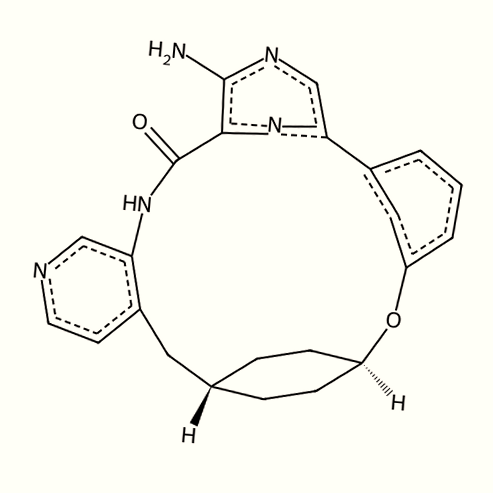 Nc1ncc2nc1C(=O)Nc1cnccc1C[C@H]1CC[C@@H](CC1)Oc1cccc-2c1